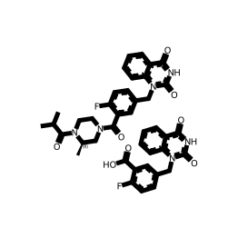 CC(C)C(=O)N1CCN(C(=O)c2cc(Cn3c(=O)[nH]c(=O)c4ccccc43)ccc2F)C[C@H]1C.O=C(O)c1cc(Cn2c(=O)[nH]c(=O)c3ccccc32)ccc1F